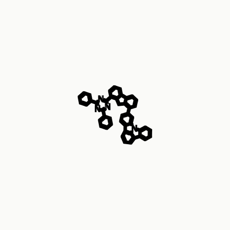 c1ccc(-c2nc(-c3ccccc3)nc(-c3cccc4c3Cc3c(-c5ccc6c7cccc8c9ccccc9n(c6c5)c87)cccc3-4)n2)cc1